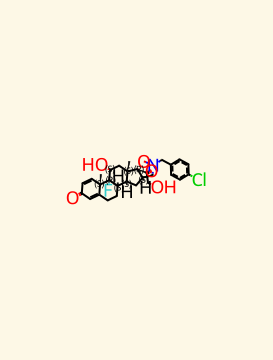 C[C@]12C=CC(=O)C=C1CC[C@H]1[C@@H]3C[C@H]4CN(Cc5ccc(Cl)cc5)O[C@@]4(C(=O)CO)[C@@]3(C)C[C@H](O)[C@@]12F